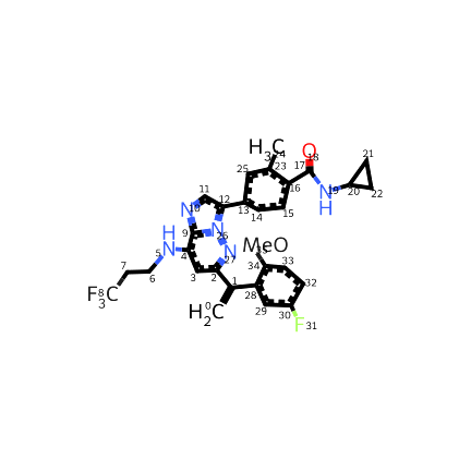 C=C(c1cc(NCCC(F)(F)F)c2ncc(-c3ccc(C(=O)NC4CC4)c(C)c3)n2n1)c1cc(F)ccc1OC